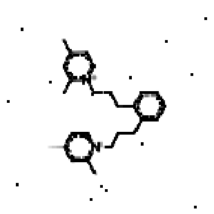 Cc1cc[n+](CCCc2ccccc2CCC[n+]2ccc(C)cc2C)c(C)c1